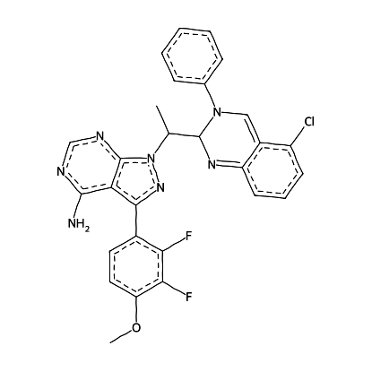 COc1ccc(-c2nn(C(C)C3N=c4cccc(Cl)c4=CN3c3ccccc3)c3ncnc(N)c23)c(F)c1F